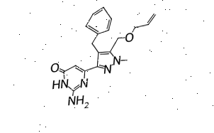 C=CCOCc1c(Cc2ccccc2)c(-c2cc(=O)[nH]c(N)n2)nn1C